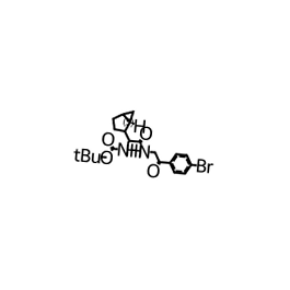 CC(C)(C)OC(=O)NC(C(=O)NCC(=O)c1ccc(Br)cc1)C1CCC2C[C@@H]21